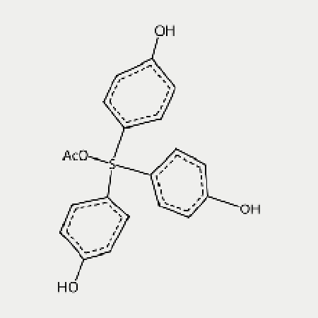 CC(=O)OS(c1ccc(O)cc1)(c1ccc(O)cc1)c1ccc(O)cc1